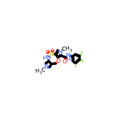 CN1CC2COc3c(cn(C)c3C(=O)Nc3cc(F)c(F)c(F)c3)S(=O)(=O)NC2C1